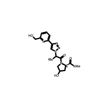 CNC(=O)[C@H]1CC(O)CN1C(=O)C(n1cc(-c2cccc(CO)n2)nn1)C(C)(C)C